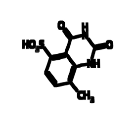 Cc1ccc(S(=O)(=O)O)c2c(=O)[nH]c(=O)[nH]c12